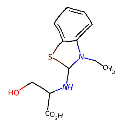 CN1c2ccccc2SC1NC(CO)C(=O)O